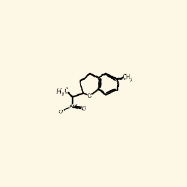 Cc1ccc2c(c1)CCC(C(C)[N+](=O)[O-])O2